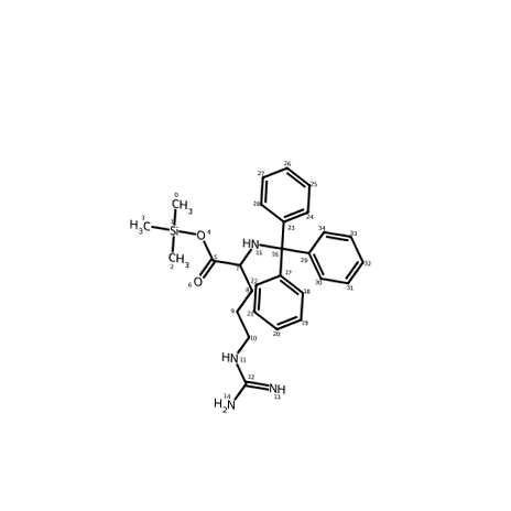 C[Si](C)(C)OC(=O)C(CCCNC(=N)N)NC(c1ccccc1)(c1ccccc1)c1ccccc1